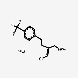 Cl.NC/C(=C/Cl)CCc1ccc(C(F)(F)F)cc1